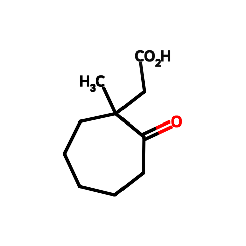 CC1(CC(=O)O)CCCCCC1=O